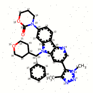 Cc1nnn(C)c1-c1cnc2c3ccc(N4CCCOC4=O)cc3n([C@H](c3ccccc3)C3CCOCC3)c2c1